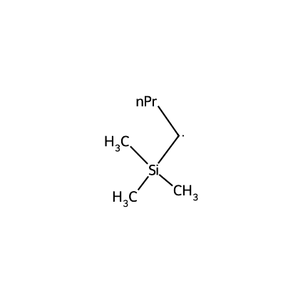 CCC[CH][Si](C)(C)C